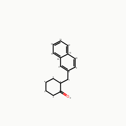 O=C1CCCCC1Cc1ccc2ccccc2c1